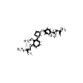 COc1c(N2CC[C@@H](Oc3ccc([C@H](C)NC(C)=O)cc3)C2)ccnc1OCC(C)(C)OC